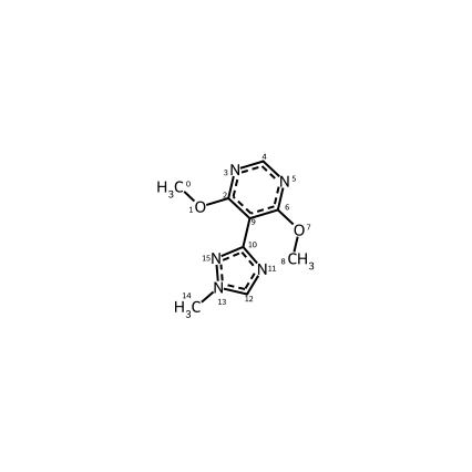 COc1ncnc(OC)c1-c1ncn(C)n1